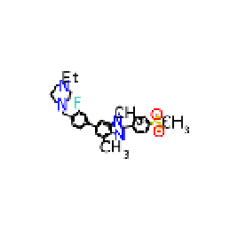 CCN1CCCN(Cc2ccc(-c3cc(C)c4nc(-c5ccc(S(C)(=O)=O)cc5)n(C)c4c3)cc2F)CC1